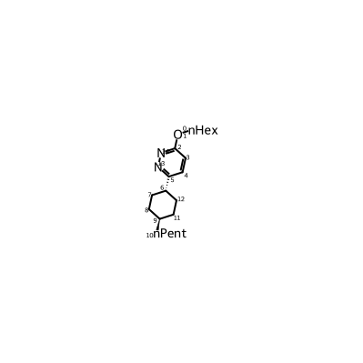 CCCCCCOc1ccc([C@H]2CC[C@H](CCCCC)CC2)nn1